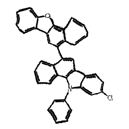 Clc1ccc2c3cc(-c4cc5c6ccccc6oc5c5ccccc45)c4ccccc4c3n(-c3ccccc3)c2c1